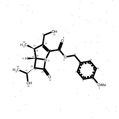 COc1ccc(COC(=O)C2=C(CO)[C@H](C)[C@H]3[C@@H](C(C)O)C(=O)N23)cc1